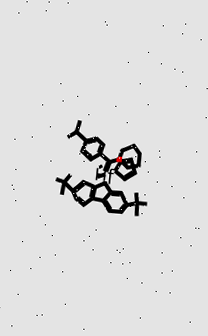 CC(C)c1ccc([C](C2CCCCC2)=[Hf]([CH3])([CH3])([CH]2C=CC=C2)[CH]2c3cc(C(C)(C)C)ccc3-c3ccc(C(C)(C)C)cc32)cc1